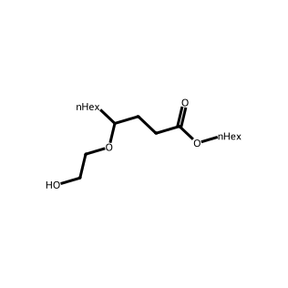 CCCCCCOC(=O)CCC(CCCCCC)OCCO